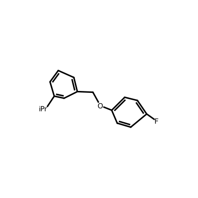 CC(C)c1cccc(COc2ccc(F)cc2)c1